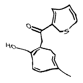 Cc1ccc(O)c(C(=O)c2cccs2)c1